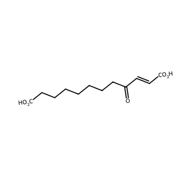 O=C(O)/C=C/C(=O)CCCCCCCC(=O)O